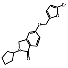 O=C1c2ccc(OCc3ccc(Br)o3)cc2CN1C1CCCC1